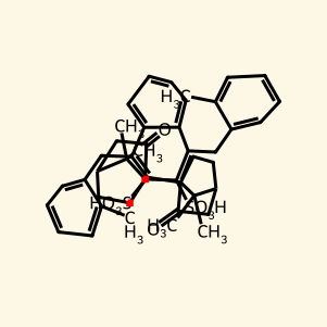 Cc1ccccc1CC(=C(C12CCC(CC1=O)C2(C)C)S(=O)(=O)O)c1ccccc1C(Cc1ccccc1C)=C(C12CCC(CC1=O)C2(C)C)S(=O)(=O)O